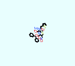 CON=CC1=C(C(=O)OC(c2ccccc2)c2ccccc2)N2C(=O)C(NC(=O)Cc3cccs3)[C@@H]2SC1